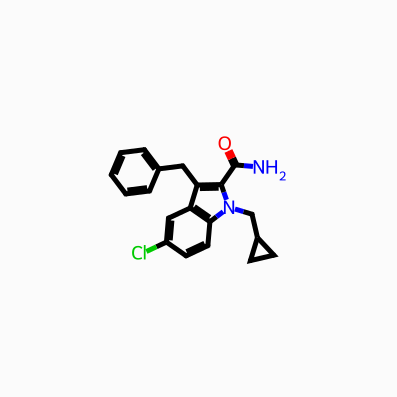 NC(=O)c1c(Cc2ccccc2)c2cc(Cl)ccc2n1CC1CC1